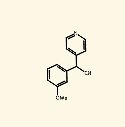 COc1cccc(C(C#N)c2ccncc2)c1